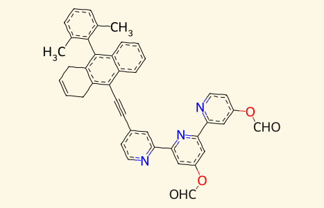 Cc1cccc(C)c1-c1c2c(c(C#Cc3ccnc(-c4cc(OC=O)cc(-c5cc(OC=O)ccn5)n4)c3)c3ccccc13)CC=CC2